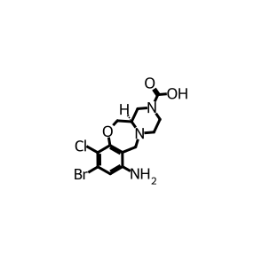 Nc1cc(Br)c(Cl)c2c1CN1CCN(C(=O)O)C[C@@H]1CO2